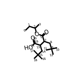 CCC(C)OC(=O)C(CC(C)(C)C)C(CC(C)(C)C)C(=O)O